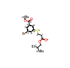 CCCCC(CC)COC(=O)CCSc1cc(Br)cc(C(=O)OC(C)(C)C)c1